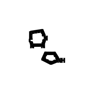 c1cc[nH]c1.c1cnnnc1